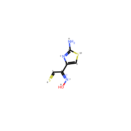 Nc1nc(/C([C]=S)=N/O)cs1